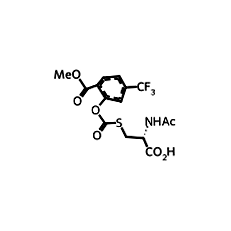 COC(=O)c1ccc(C(F)(F)F)cc1OC(=O)SC[C@H](NC(C)=O)C(=O)O